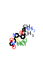 Cc1cc(Cl)cc(-c2ccnc3cc(CN4C(=O)CCC4=O)sc23)c1OC1CC(C)(N)C1.Cl.Cl